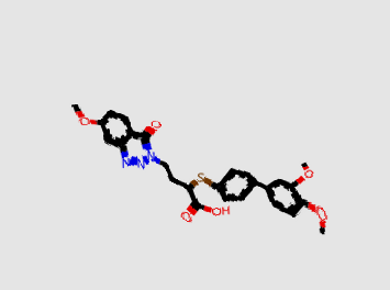 COc1ccc2c(=O)n(CCC(Sc3ccc(-c4ccc(OC)c(OC)c4)cc3)C(=O)O)nnc2c1